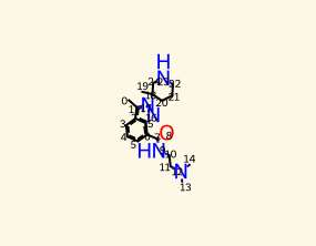 Cc1c2cccc(C(=O)NCCN(C)C)c2nn1C1(C)CCCNC1